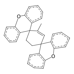 CC1=CC2(CCC13c1ccccc1Oc1ccccc13)c1ccccc1Oc1ccccc12